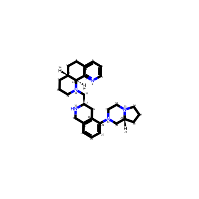 c1cnc2c(c1)CC[C@H]1CCCN(C[C@H]3Cc4c(cccc4N4CCN5CCC[C@@H]5C4)CN3)[C@H]21